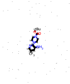 CC(C)(C)OC(=O)N1CCN(c2ncc(C(F)(F)F)cc2N)CC1